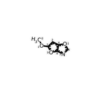 COc1cc2ocnc2o1